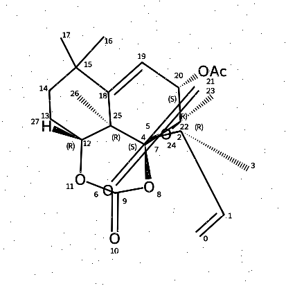 C=C[C@@]1(C)CC(=O)[C@@]23OC(=O)O[C@@H]4CCC(C)(C)C(=C[C@H](OC(C)=O)[C@@]2(C)O1)[C@]43C